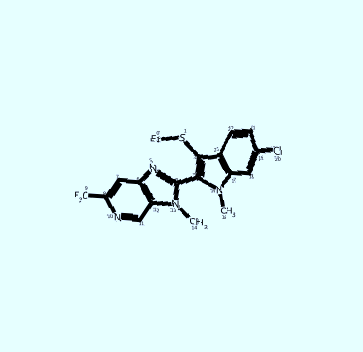 CCSc1c(-c2nc3cc(C(F)(F)F)ncc3n2C)n(C)c2cc(Cl)ccc12